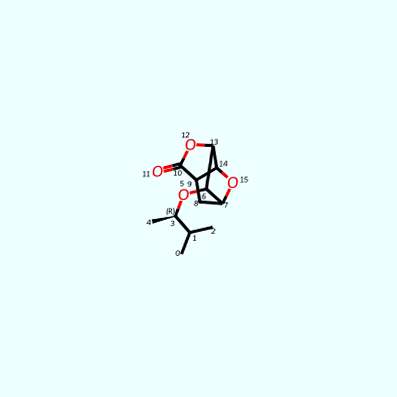 CC(C)[C@@H](C)OC1C2CC3C(=O)OC1C3O2